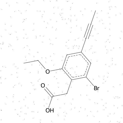 CC#Cc1cc(Br)c(CC(=O)O)c(OCC)c1